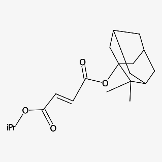 CC(C)OC(=O)/C=C/C(=O)OC12CC3CC(CC(C3)C1(C)C)C2